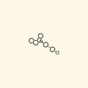 Clc1ccc(-c2ccc(-n3c4ccccc4c4c5ccccc5ccc43)cc2)cc1